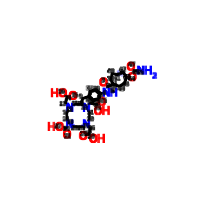 C[C@]1(C(=O)Nc2ccc(CC3CN(CC(=O)O)CCN(C(=O)O)CCN(CC(=O)O)CCN3CC(=O)O)cc2)CC/C=C/[C@@H](OC(N)=O)CC1